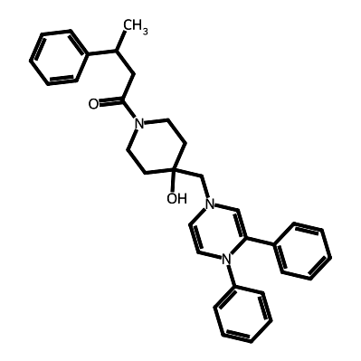 CC(CC(=O)N1CCC(O)(CN2C=CN(c3ccccc3)C(c3ccccc3)=C2)CC1)c1ccccc1